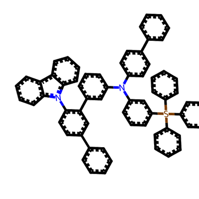 c1ccc(-c2ccc(N(c3cccc(-c4cc(-c5ccccc5)ccc4-n4c5ccccc5c5ccccc54)c3)c3cccc(S(c4ccccc4)(c4ccccc4)c4ccccc4)c3)cc2)cc1